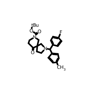 Cc1ccc(C(c2ccc(F)cc2)N2CCC3(CN(C(=O)OC(C)(C)C)CCC3=O)C2)cc1